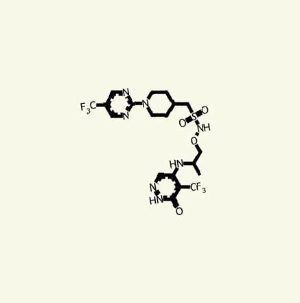 CC(CONS(=O)(=O)CC1CCN(c2ncc(C(F)(F)F)cn2)CC1)Nc1cn[nH]c(=O)c1C(F)(F)F